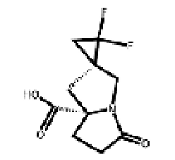 O=C1CC[C@@]2(C(=O)O)C[C@]3(CN12)CC3(F)F